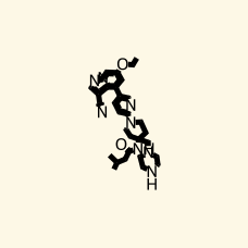 CCOc1cc(-c2ccc(N3CCC(CN4CCNCC4)(NC(=O)CC(C)C)CC3)nc2)c2c(C#N)cnn2c1